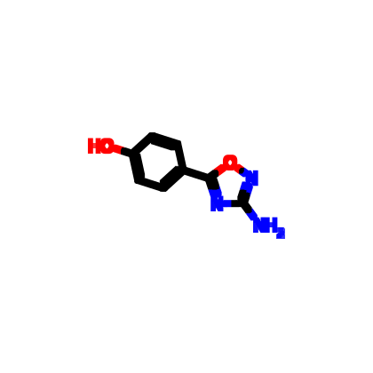 Nc1noc(-c2ccc(O)cc2)n1